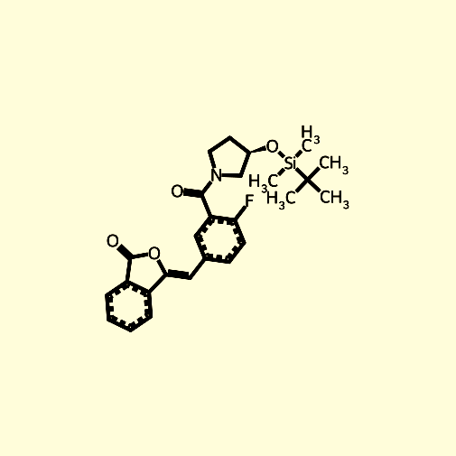 CC(C)(C)[Si](C)(C)O[C@@H]1CCN(C(=O)c2cc(/C=C3\OC(=O)c4ccccc43)ccc2F)C1